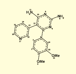 COc1ccc(-c2nc(N)nc(N)c2-c2cccnc2)cc1OC